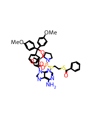 COc1ccc(C(OC[C@]23COC(C2OP(SCCSC(=O)c2ccccc2)N2CCCC2)[C@H](n2cnc4c(N)ncnc42)O3)(c2ccccc2)c2ccc(OC)cc2)cc1